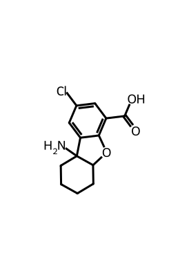 NC12CCCCC1Oc1c(C(=O)O)cc(Cl)cc12